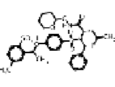 C=C(F)C[C@@H](C(=O)NOC1CCCCO1)N(Cc1ccccc1)S(=O)(=O)c1ccc(OC(C)c2cc(C)ccc2S(=O)(=O)O)cc1